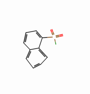 O=S(=O)(F)c1cccc2ccccc12